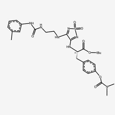 Cc1cccc(NC(=O)NCCNC2=NS(=O)(=O)N=C2N[C@@H](Cc2ccc(OC(=O)N(C)C)cc2)C(=O)OC(C)(C)C)c1